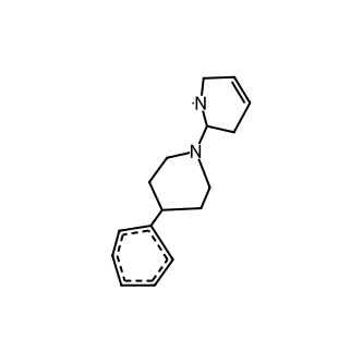 C1=CCC(N2CCC(c3ccccc3)CC2)[N]C1